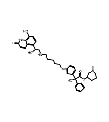 CN1CCCC(OC(=O)C(O)(c2ccccc2)c2cccc(OCCCCCNCC(O)c3ccc(O)c4[nH]c(=O)ccc34)c2)C1